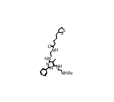 CC(=O)NCCNc1nc(-c2ccccc2)nc(NCCNC(=O)CCCCC2CCSS2)c1C